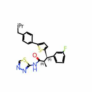 CC(C)Cc1ccc(-c2ccc([C@@H](c3cccc(F)c3)[C@@H](C)C(=O)Nc3nncs3)s2)cc1